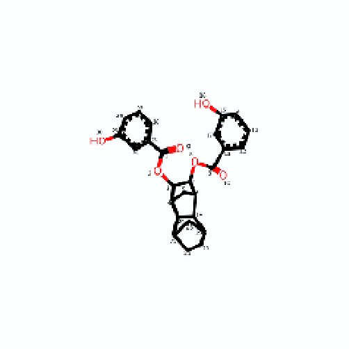 O=C(OC1C2CC(C1OC(=O)c1cccc(O)c1)C1C3CCC(C3)C21)c1cccc(O)c1